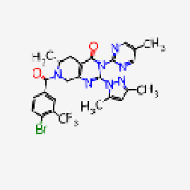 Cc1cnc(-n2c(-n3nc(C)cc3C)nc3c(c2=O)C[C@@H](C)N(C(=O)c2ccc(Br)c(C(F)(F)F)c2)C3)nc1